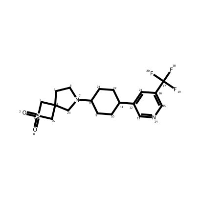 O=S1(=O)CC2(CCN(C3CCC(c4cncc(C(F)(F)F)c4)CC3)C2)C1